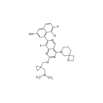 CN(C)CC1(COc2nc(N3CCCC4(CCO4)C3)c3cnc(-c4cc(O)cc5ccc(F)c(Cl)c45)c(F)c3n2)CC1